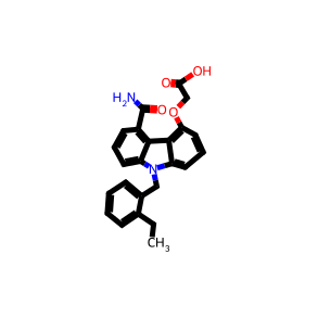 CCc1ccccc1Cn1c2cccc(OCC(=O)O)c2c2c(C(N)=O)cccc21